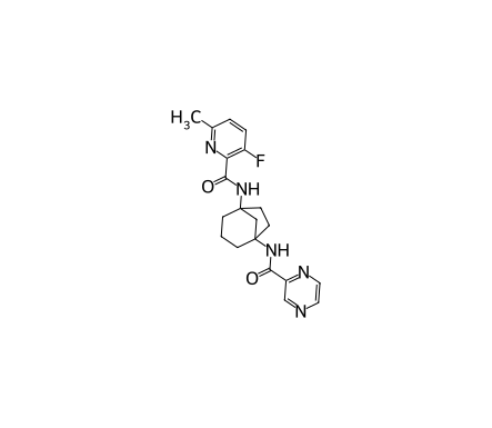 Cc1ccc(F)c(C(=O)NC23CCCC(NC(=O)c4cnccn4)(CC2)C3)n1